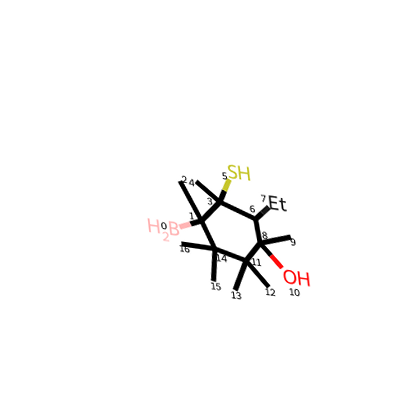 BC1(C)C(C)(S)C(CC)C(C)(O)C(C)(C)C1(C)C